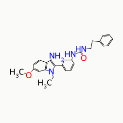 CCn1c(-c2cccc(NC(=O)NCCc3ccccc3)c2)c(N)c2ccc(OC)cc21